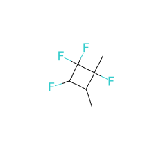 CC1C(F)C(F)(F)C1(C)F